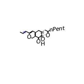 C/C=C/C1=CC2=C(CO1)C(=O)[C@](C)(O)[C@@H](CC(=O)CCCCC)C2